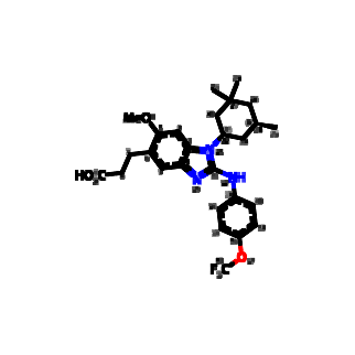 COc1cc2c(cc1CCC(=O)O)nc(Nc1ccc(OC(F)(F)F)cc1)n2[C@@H]1C[C@H](C)CC(C)(C)C1